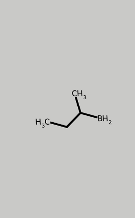 BC(C)CC